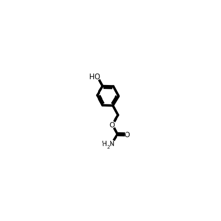 NC(=O)OCc1ccc(O)cc1